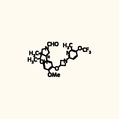 COc1ccc([C@@H]2CN(C=O)C[C@@]2(C)C(C)O)cc1OC1CN(c2ccc(OC(F)(F)F)c(C)n2)C1